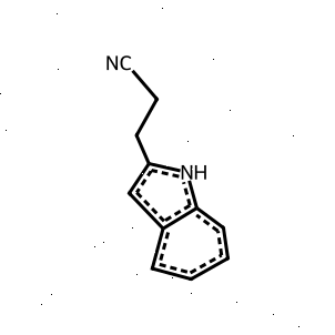 N#CCCc1cc2ccccc2[nH]1